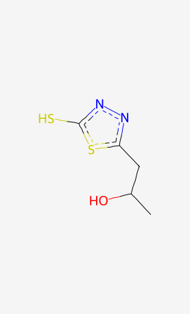 CC(O)Cc1nnc(S)s1